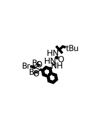 CC(C)(C)CC(C)(C)NC(=O)NNc1cc(S(=O)(=O)C(Br)(Br)Br)cc2ccccc12